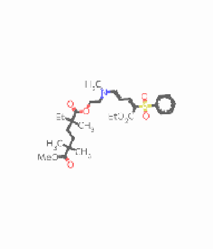 CCOC(=O)C(=CC=CN(C)CCOC(=O)C(C)(CC)CCC(C)(C)C(=O)OC)S(=O)(=O)c1ccccc1